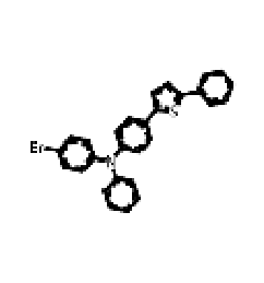 Brc1ccc(N(c2ccccc2)c2ccc(-c3ccc(-c4ccccc4)s3)cc2)cc1